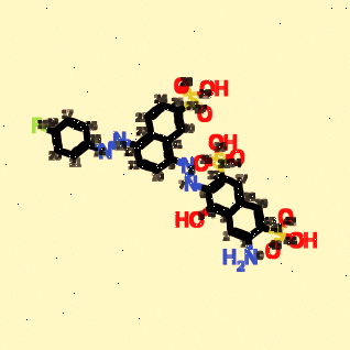 Nc1cc2c(O)c(N=Nc3ccc(N=Nc4ccc(F)cc4)c4ccc(S(=O)(=O)O)cc34)c(S(=O)(=O)O)cc2cc1S(=O)(=O)O